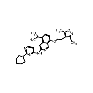 Cc1noc(C)c1CCOc1ccc(C(C)C)c2cc(Nc3ccnc(N4CCCCC4)n3)ncc12